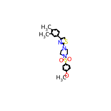 COc1ccc(S(=O)(=O)N2CCN(c3nc(-c4ccc(C)c(C)c4)cs3)CC2)cc1